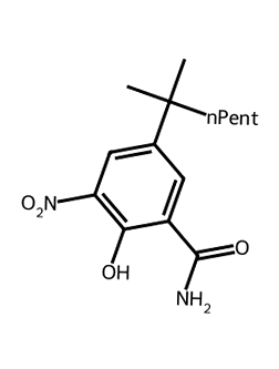 CCCCCC(C)(C)c1cc(C(N)=O)c(O)c([N+](=O)[O-])c1